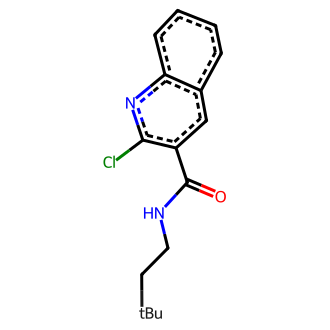 CC(C)(C)CCNC(=O)c1cc2ccccc2nc1Cl